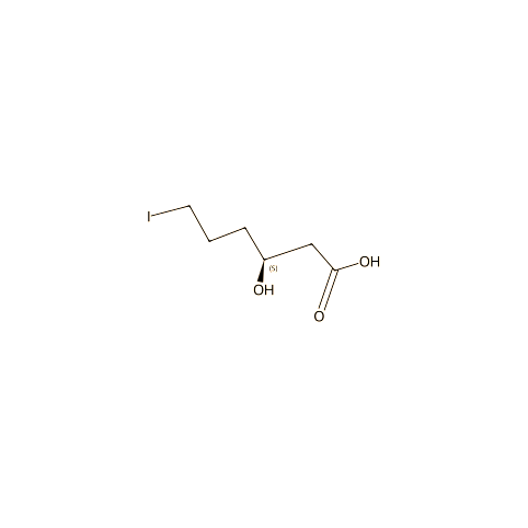 O=C(O)C[C@@H](O)CCCI